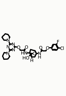 O=C(COc1ccc(Cl)c(F)c1)NC12CCC(NC(=O)COc3nc(N4CCCCC4)nc(N4CCCCC4)n3)(CC1)[C@@H](O)C2